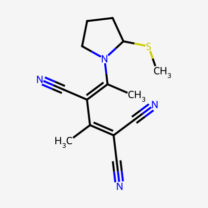 CSC1CCCN1/C(C)=C(\C#N)C(C)=C(C#N)C#N